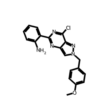 COc1ccc(Cn2cc3nc(-c4ccccc4N)nc(Cl)c3n2)cc1